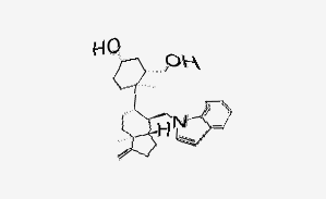 C=C1CC[C@H]2[C@H](Cn3ccc4ccccc43)[C@@H]([C@@]3(C)CC[C@H](O)C[C@@H]3CO)CC[C@]12C